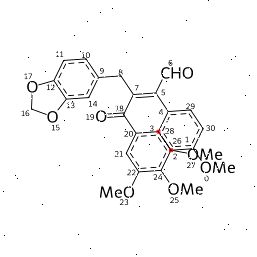 COc1ccc(/C(C=O)=C(/Cc2ccc3c(c2)OCO3)C(=O)c2cc(OC)c(OC)c(OC)c2)cc1